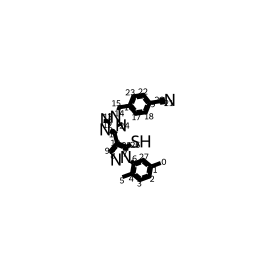 Cc1ccc(C)c(-n2ncc(-c3nnn(Cc4ccc(C#N)cc4)n3)c2S)c1